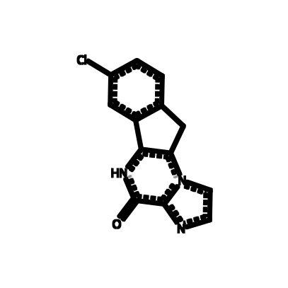 O=c1[nH]c2c(n3ccnc13)Cc1ccc(Cl)cc1-2